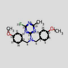 COc1ccc(CN(Cc2ccc(OC)cc2)c2nc(C)nc(F)n2)cc1